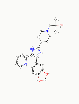 CC(C)(O)CN1CCC(c2nc(-c3ccc4c(c3)OCO4)c(-c3ccccn3)[nH]2)CC1